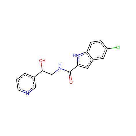 O=C(NCC(O)c1cccnc1)c1cc2cc(Cl)ccc2[nH]1